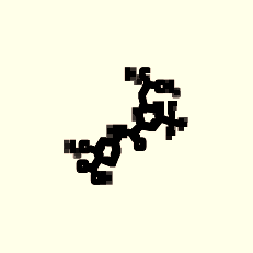 Cc1cc(NC(=O)c2cc(C(F)(F)F)nc(CC(C)C)n2)ccc1C(=O)O